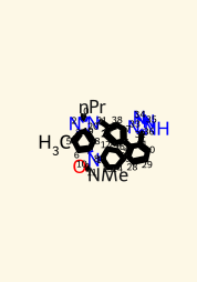 CCCc1nc2c(C)cc(N(C(=O)NC)C3CCCCC3)cc2n1Cc1ccc(-c2ccccc2-c2nnn[nH]2)cc1